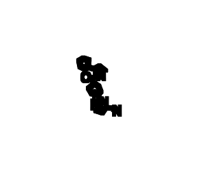 N#Cc1ccnc(N2CCC(C(=O)N3N=CCC3c3ccccc3)CC2)n1